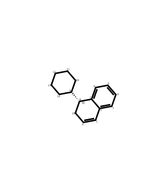 C1=Cc2ccccc2[C@@H](C2CCCCC2)C1